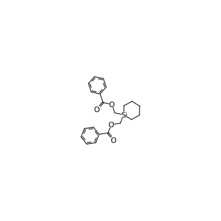 O=C(OC[Si]1(COC(=O)c2ccccc2)CCCCC1)c1ccccc1